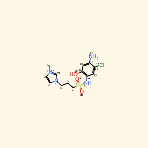 C[n+]1ccn(CCCS(=O)(=O)Nc2cc(Cl)c(N)cc2O)c1